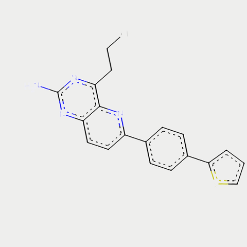 CCCc1nc(N)nc2ccc(-c3ccc(-c4cccs4)cc3)nc12